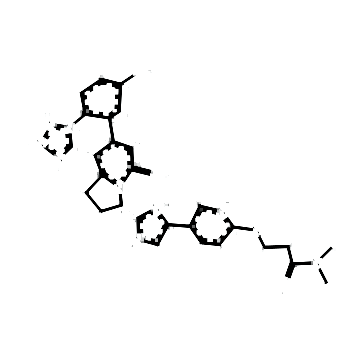 CN(C)C(=O)CCNc1ccc(-c2cnc([C@@H]3CCc4cc(-c5cc(Cl)ccc5-n5cnnn5)cc(=O)n43)[nH]2)cn1